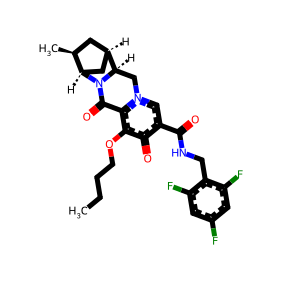 CCCCOc1c2n(cc(C(=O)NCc3c(F)cc(F)cc3F)c1=O)C[C@@H]1[C@H]3C[C@H]([C@@H](C)C3)N1C2=O